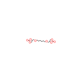 O=C1OCC(COCCCCCCOCC2COC(=O)O2)O1